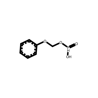 O=[PH](O)OCOc1ccccc1